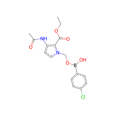 CCOC(=O)c1c(NC(C)=O)ccn1COB(O)c1ccc(Cl)cc1